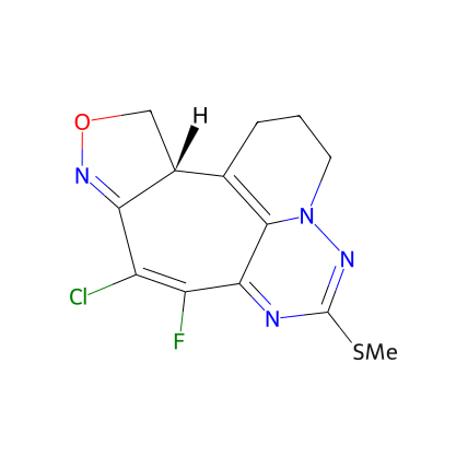 CSC1=NN2CCCC3=C2C(=N1)C(F)=C(Cl)C1=NOC[C@@H]13